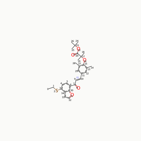 CCSc1ccc(C(=O)/C=C/c2cc(C)c(OC(C)(C)C(=O)OC(C)(C)C)c(C)c2)c2occc12